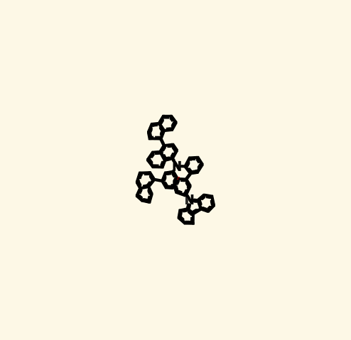 c1cc(-c2cccc3ccccc23)cc(N(c2ccccc2-c2cccc(-n3c4ccccc4c4ccccc43)c2)c2ccc(-c3cccc4ccccc34)c3ccccc23)c1